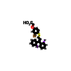 O=C(O)COc1ccc(SCC=C(c2ccccc2I)c2ccccc2I)c(Br)c1